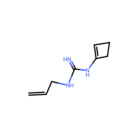 C=CCNC(=N)NC1=CCC1